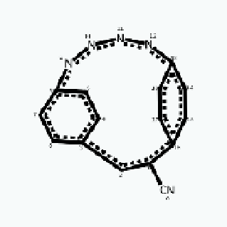 N#Cc1cc2ccc(cc2)nnnnc2ccc1cc2